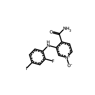 NC(=O)c1cc[n+]([O-])cc1Nc1ccc(I)cc1F